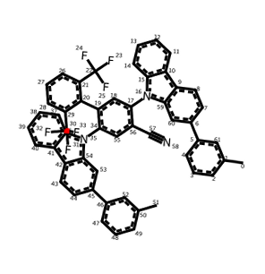 Cc1cccc(-c2ccc3c4ccccc4n(-c4cc(-c5c(C(F)(F)F)cccc5C(F)(F)F)c(-n5c6ccccc6c6ccc(-c7cccc(C)c7)cc65)cc4C#N)c3c2)c1